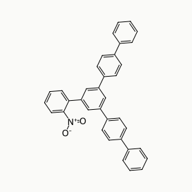 O=[N+]([O-])c1ccccc1-c1cc(-c2ccc(-c3ccccc3)cc2)cc(-c2ccc(-c3ccccc3)cc2)c1